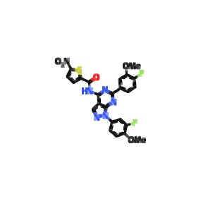 COc1ccc(-n2ncc3c(NC(=O)c4ccc([N+](=O)[O-])s4)nc(-c4ccc(F)c(OC)c4)nc32)cc1F